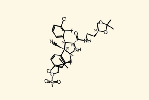 CC(C)(CCOS(C)(=O)=O)C[C@@H]1N[C@@H](C(=O)NCC[C@H]2COC(C)(C)O2)[C@H](c2cccc(Cl)c2F)[C@@]1(C#N)c1ccc(Cl)cc1F